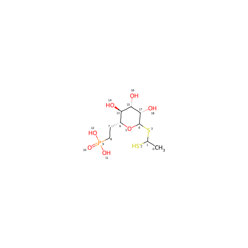 CC(S)SC1O[C@H](CCP(=O)(O)O)[C@@H](O)[C@H](O)[C@@H]1O